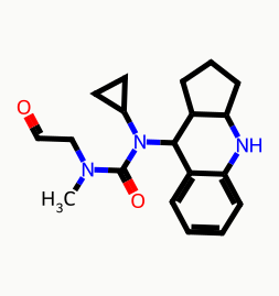 CN(CC=O)C(=O)N(C1CC1)C1c2ccccc2NC2CCCC21